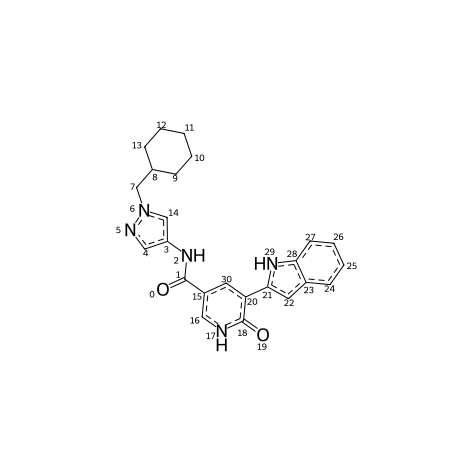 O=C(Nc1cnn(CC2CCCCC2)c1)c1c[nH]c(=O)c(-c2cc3ccccc3[nH]2)c1